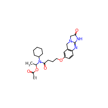 CCC(=O)OC(C)N(C(=O)CCCOc1ccc2c(c1)CN1CC(=O)NC1=N2)C1CCCCC1